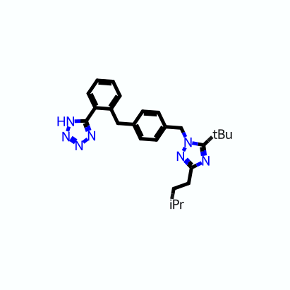 CC(C)CCc1nc(C(C)(C)C)n(Cc2ccc(Cc3ccccc3-c3nnn[nH]3)cc2)n1